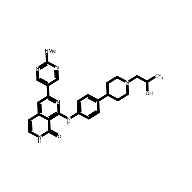 CNc1ncc(-c2cc3cc[nH]c(=O)c3c(Nc3ccc(C4CCN(CC(O)C(F)(F)F)CC4)cc3)n2)cn1